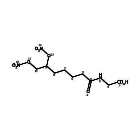 O=C(O)CNC(=O)CCCCC(CO[N+](=O)[O-])O[N+](=O)[O-]